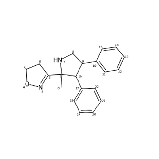 CC1(C2=NOCC2)NCC(c2ccccc2)C1c1ccccc1